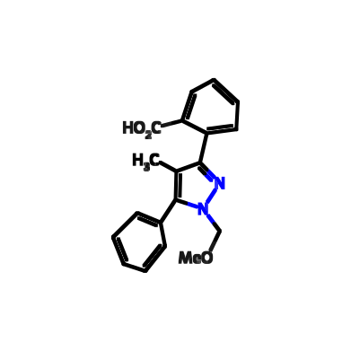 COCn1nc(-c2ccccc2C(=O)O)c(C)c1-c1ccccc1